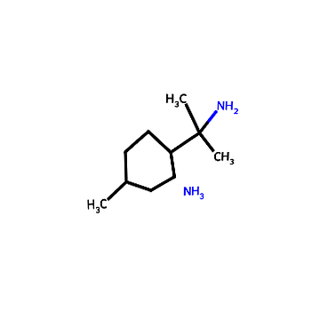 CC1CCC(C(C)(C)N)CC1.N